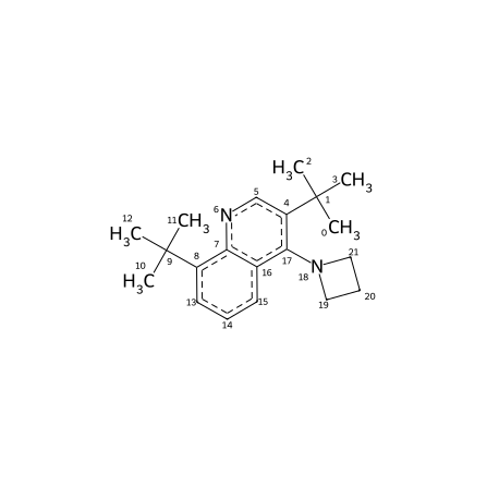 CC(C)(C)c1cnc2c(C(C)(C)C)cccc2c1N1CCC1